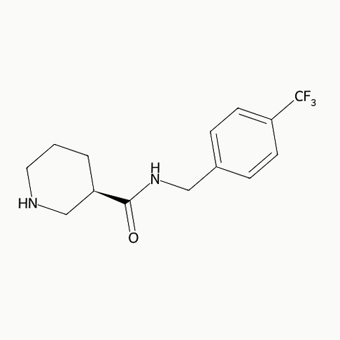 O=C(NCc1ccc(C(F)(F)F)cc1)[C@@H]1CCCNC1